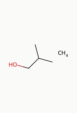 C.CC(C)CO